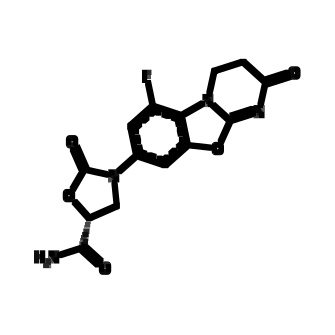 NC(=O)[C@H]1CN(c2cc(F)c3c(c2)OC2=NC(=O)CCN23)C(=O)O1